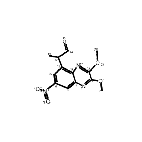 COc1nc2cc([N+](=O)[O-])cc(C(C)C=O)c2nc1OC